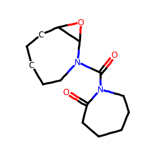 O=C1CCCCCN1C(=O)N1CCCCCC2OC21